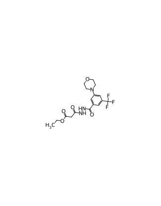 CCOC(=O)CC(=O)NNC(=O)c1cc(N2CCOCC2)cc(C(F)(F)F)c1